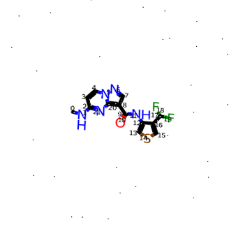 CNc1ccn2ncc(C(=O)Nc3cscc3C(F)F)c2n1